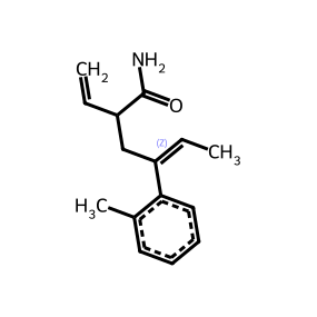 C=CC(C/C(=C/C)c1ccccc1C)C(N)=O